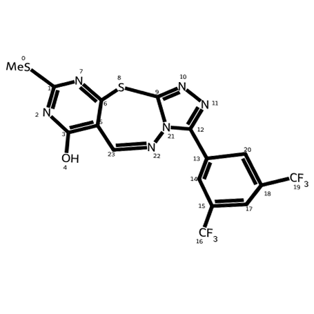 CSc1nc(O)c2c(n1)Sc1nnc(-c3cc(C(F)(F)F)cc(C(F)(F)F)c3)n1N=C2